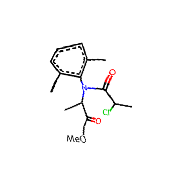 COC(=O)C(C)N(C(=O)C(C)Cl)c1c(C)cccc1C